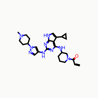 C=CC(=O)N1CCCC(Nc2nc(Nc3cnn(C4CCN(C)CC4)c3)nc3[nH]cc(C4CC4)c23)C1